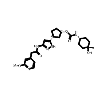 COc1cc(CC(=O)Nc2cc([C@@H]3CC[C@H](OC(=O)N[C@H]4CC[C@@](C)(O)CC4)C3)[nH]n2)ccn1